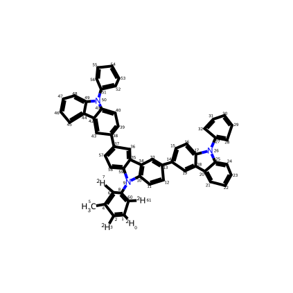 [2H]c1c([2H])c(C)c([2H])c(-n2c3ccc(-c4ccc5c(c4)c4ccccc4n5-c4ccccc4)cc3c3cc(-c4ccc5c(c4)c4ccccc4n5-c4ccccc4)ccc32)c1[2H]